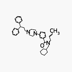 CC=CCN(CC1CCCCC1)C(=O)c1cccc(N2CCN(CCC(c3ccccc3)c3ccccc3)CC2)c1